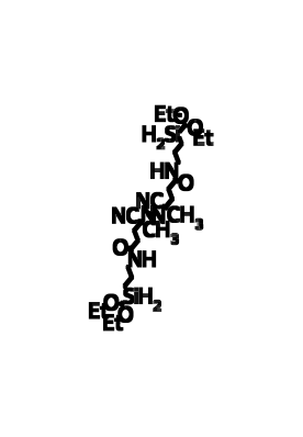 CCOC(OCC)[SiH2]CCCNC(=O)CCC(C)(C#N)N=NC(C)(C#N)CCC(=O)NCCC[SiH2]C(OCC)OCC